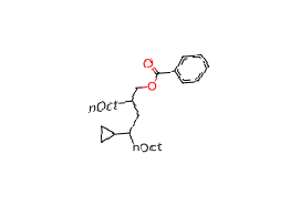 CCCCCCCCC(COC(=O)c1ccccc1)CC(CCCCCCCC)C1CC1